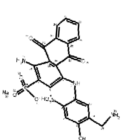 Cc1cc(S(=O)(=O)O)c(Nc2cc(S(=O)(=O)[O-])c(N)c3c2C(=O)c2ccccc2C3=O)cc1CN.[Na+]